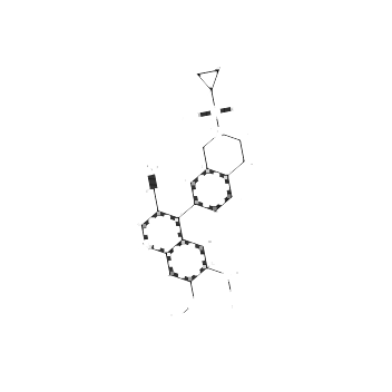 COc1cc2ncc(C#N)c(-c3ccc4c(c3)CN(S(=O)(=O)C3CC3)CC4)c2cc1OC